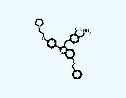 Cc1cc(Cc2c(-c3ccc(OCCN4CCCC4)cc3)sc3cc(OCc4ccccc4)ccc23)ccc1CN